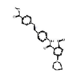 COC(=O)c1ccc(/C=C/c2ccc(NC(=O)c3cc(N4CCCCC4)ccc3N=O)cc2)cc1